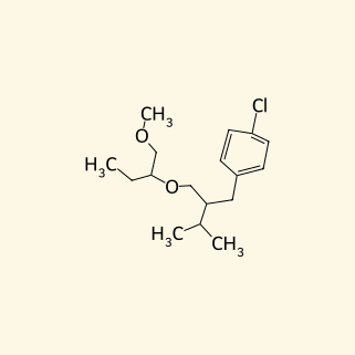 CCC(COC)OCC(Cc1ccc(Cl)cc1)C(C)C